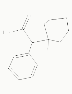 CC(=O)C(c1ccccc1)C1(O)CCCCC1.[HH]